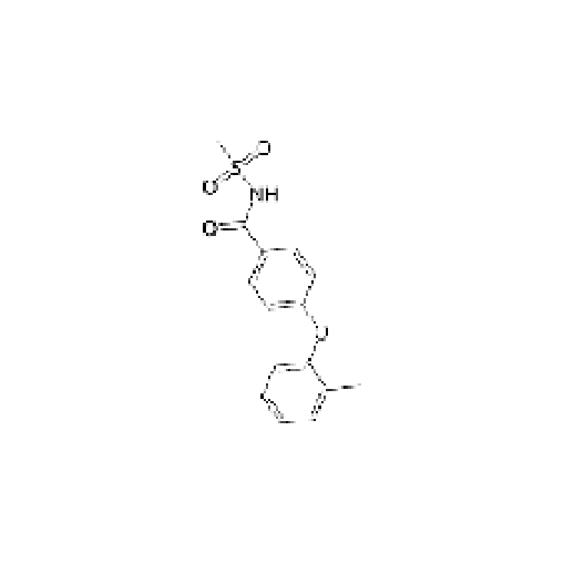 Cc1ccccc1Oc1ccc(C(=O)NS(C)(=O)=O)cc1